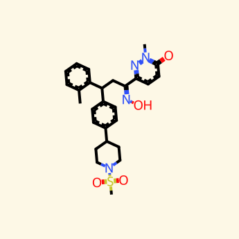 Cc1ccccc1C(CC(=NO)c1ccc(=O)n(C)n1)c1ccc(C2CCN(S(C)(=O)=O)CC2)cc1